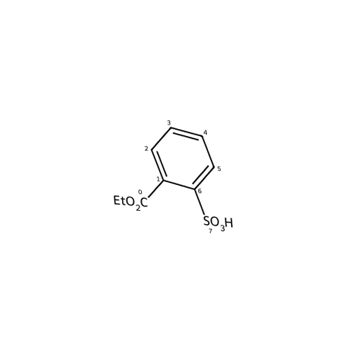 [CH2]COC(=O)c1ccccc1S(=O)(=O)O